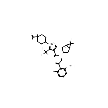 COc1cccc(Cl)c1C(=O)CN(C(=O)c1cnn(C2CCC(C)(C(=O)O)CC2)c1C(F)(F)F)[C@H]1C[C@@H]2[C@H](C1)C2(C)C